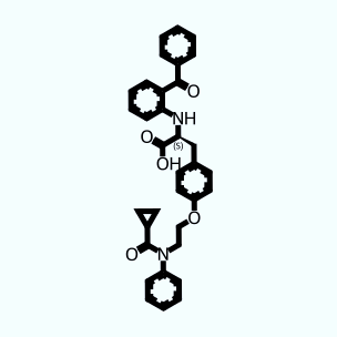 O=C(c1ccccc1)c1ccccc1N[C@@H](Cc1ccc(OCCN(C(=O)C2CC2)c2ccccc2)cc1)C(=O)O